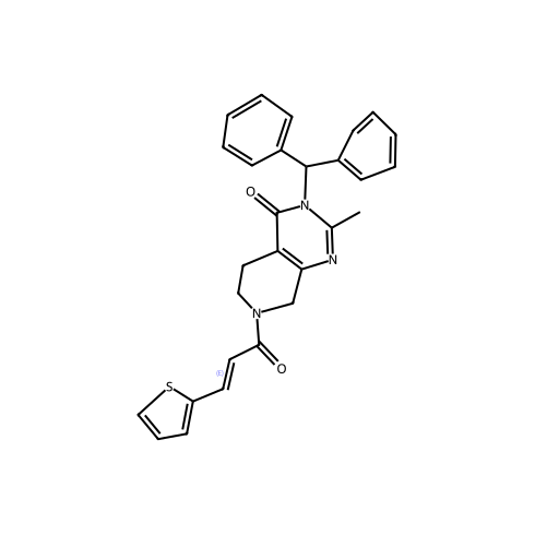 Cc1nc2c(c(=O)n1C(c1ccccc1)c1ccccc1)CCN(C(=O)/C=C/c1cccs1)C2